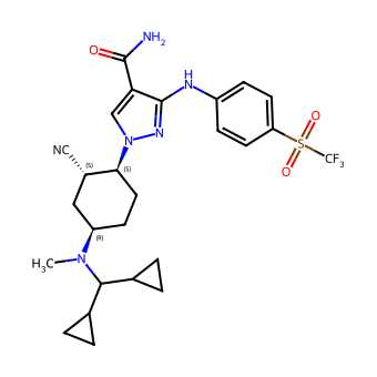 CN(C(C1CC1)C1CC1)[C@@H]1CC[C@H](n2cc(C(N)=O)c(Nc3ccc(S(=O)(=O)C(F)(F)F)cc3)n2)[C@@H](C#N)C1